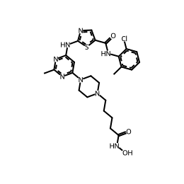 Cc1nc(Nc2ncc(C(=O)Nc3c(C)cccc3Cl)s2)cc(N2CCN(CCCCC(=O)NO)CC2)n1